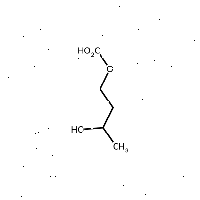 CC(O)CCOC(=O)O